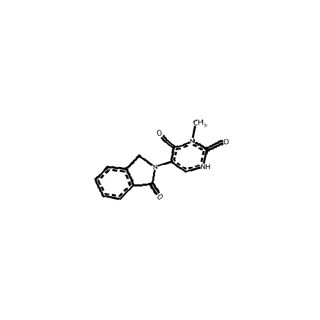 Cn1c(=O)[nH]cc(N2Cc3ccccc3C2=O)c1=O